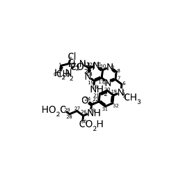 C=CCCl.CN(Cc1cnc2nc(N)nc(N)c2n1)c1ccc(C(=O)NC(CCC(=O)O)C(=O)O)cc1.NC(=O)O